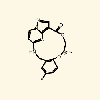 C[C@H]1COC(=O)c2cnn3ccc(nc23)NCc2cc(F)ccc2O1